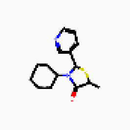 CC1SC(c2cccnc2)N(C2CCCCC2)C1=O